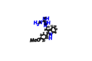 COc1ccc(-c2[nH]c3ccccc3c2CC=NNC(=N)N)cc1